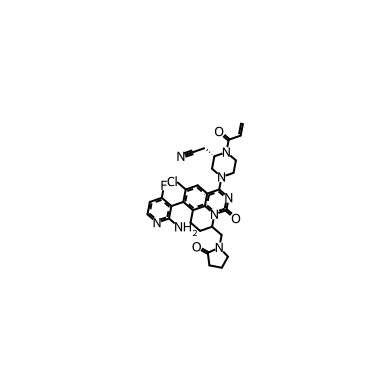 C=CC(=O)N1CCN(c2nc(=O)n3c4c(c(-c5c(F)ccnc5N)c(Cl)cc24)CCC3CN2CCCC2=O)C[C@@H]1CC#N